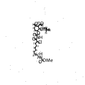 COC(=O)NCCN(C)CCCCCC(Cl)C(=O)NC(=O)OC1CC[C@]2(CO2)C([C@@]2(C)O[C@@H]2CC=C(C)C)C1OC